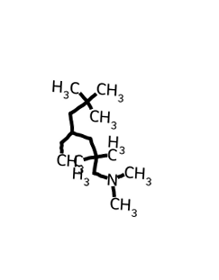 CCC(CC(C)(C)C)CC(C)(C)CN(C)C